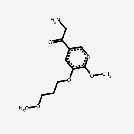 COCCCOc1cc(C(=O)CN)cnc1OC